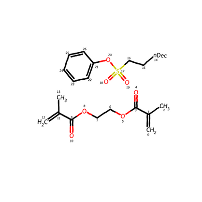 C=C(C)C(=O)OCCOC(=O)C(=C)C.CCCCCCCCCCCCS(=O)(=O)Oc1ccccc1